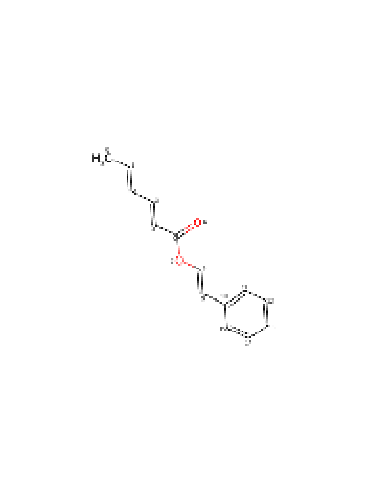 C/C=C/C=C/C(=O)OC=Cc1ccccc1